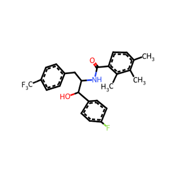 Cc1ccc(C(=O)NC(Cc2ccc(C(F)(F)F)cc2)C(O)c2ccc(F)cc2)c(C)c1C